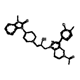 CC(=O)N1CCc2c(c(-c3ccc(C)c(Cl)c3)nn2CC(O)CN2CCC(n3c(=O)n(C)c4ccccc43)CC2)C1